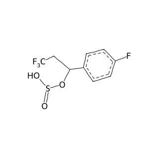 O=S(O)OC(CC(F)(F)F)c1ccc(F)cc1